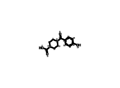 O=C(O)N1CCN(C(=O)c2ccc(O)cc2)CC1